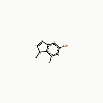 Cc1cc(Br)cc2c1C(C)C=C2